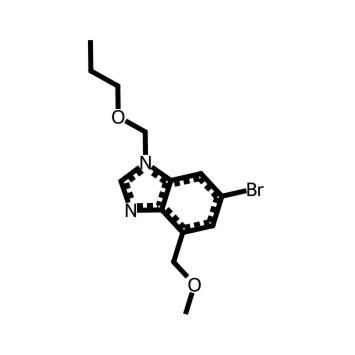 CCCOCn1cnc2c(COC)cc(Br)cc21